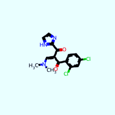 CN(C)C=C(C(=O)c1ncc[nH]1)C(=O)c1ccc(Cl)cc1Cl